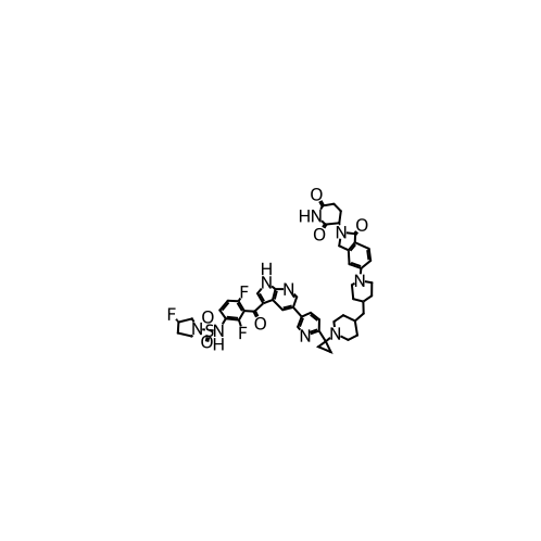 O=C1CC[C@H](N2Cc3cc(N4CCC(CC5CCN(C6(c7ccc(-c8cnc9[nH]cc(C(=O)c%10c(F)ccc(NS(=O)(=O)N%11CC[C@@H](F)C%11)c%10F)c9c8)cn7)CC6)CC5)CC4)ccc3C2=O)C(=O)N1